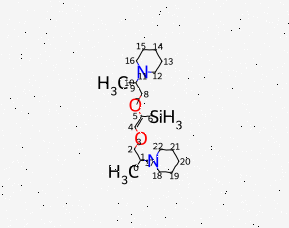 CC(COC=C([SiH3])OCC(C)N1CCCCC1)N1CCCCC1